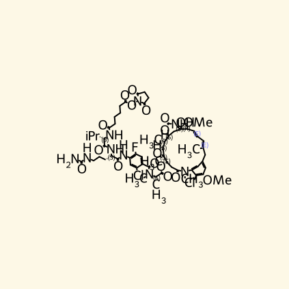 COc1cc2cc(c1Cl)N(C)C(=O)C[C@H](OC(=O)[C@H](C)N(C)C(=O)c1cc(F)c(NC(=O)[C@H](CCCNC(N)=O)NC(=O)[C@@H](NC(=O)CCCCC(=O)ON3C(=O)CCC3=O)C(C)C)cc1Cl)[C@]1(C)O[C@H]1[C@H](C)[C@@H]1C[C@@](O)(NC(=O)O1)[C@H](OC)/C=C/C=C(\C)C2